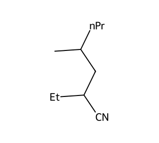 CCCC(C)CC(C#N)CC